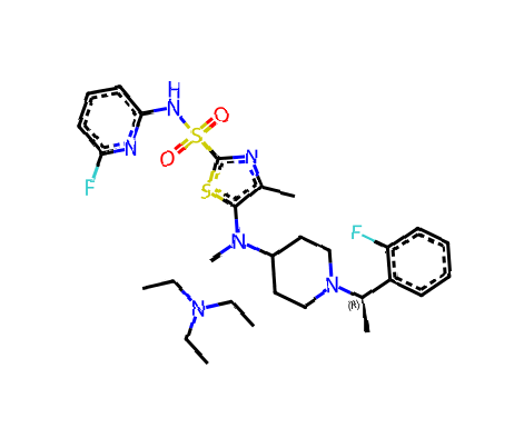 CCN(CC)CC.Cc1nc(S(=O)(=O)Nc2cccc(F)n2)sc1N(C)C1CCN([C@H](C)c2ccccc2F)CC1